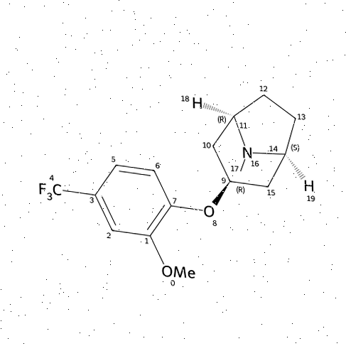 COc1cc(C(F)(F)F)ccc1O[C@H]1C[C@H]2CC[C@@H](C1)N2C